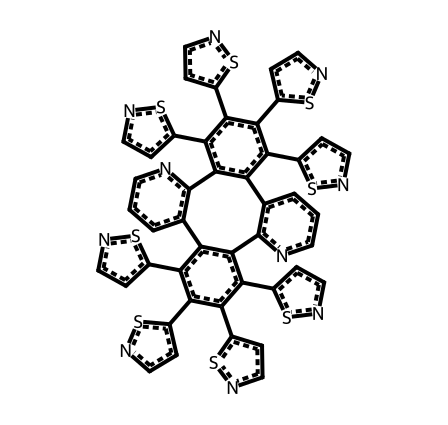 c1cnc2c(c1)-c1c(-c3ccns3)c(-c3ccns3)c(-c3ccns3)c(-c3ccns3)c1-c1ncccc1-c1c(-c3ccns3)c(-c3ccns3)c(-c3ccns3)c(-c3ccns3)c1-2